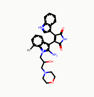 CC(=O)c1cccc2c(C3=C(c4c[nH]c5ccccc45)C(=O)NC3=O)c(N)n(CC(O)CN3CCOCC3)c12